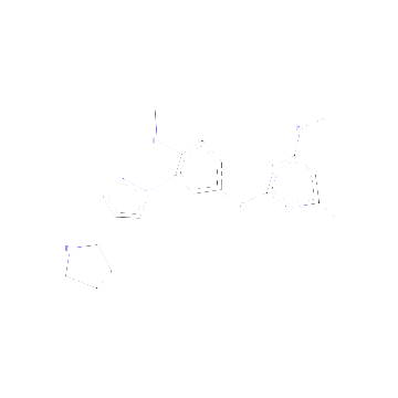 CNc1cc(C)nc(Nc2ccc(NC)c(-n3cc([C@@H]4CCCN4)cn3)c2)n1